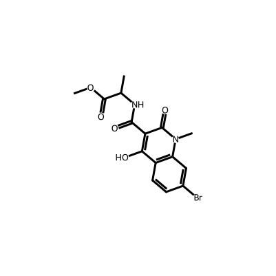 COC(=O)C(C)NC(=O)c1c(O)c2ccc(Br)cc2n(C)c1=O